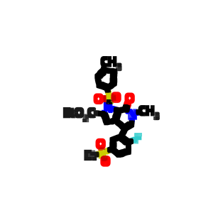 CCOC(=O)c1cc2c(-c3cc(S(=O)(=O)CC)ccc3F)cn(C)c(=O)c2n1S(=O)(=O)c1ccc(C)cc1